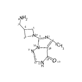 Cc1nc(N2CC(CN)C2)n2nc[nH]c(=O)c12